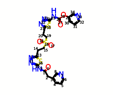 O=C(Cc1cccnc1)Nc1nnc(CCS(=O)(=O)CCc2nnc(NC(=O)Oc3cccnc3)s2)s1